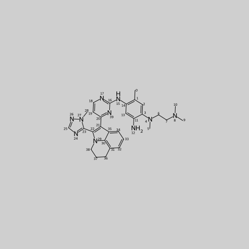 Cc1cc(N(C)CCN(C)C)c(N)cc1Nc1nccc(-c2c(-c3ncnn3C)n3c4c(cccc24)CCC3)n1